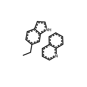 CCc1ccc2cc[nH]c2c1.c1ccc2ncccc2c1